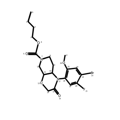 CCCCOC(=O)N1CCC2C(C1)OCC(=O)N2c1cc(F)c(Br)cc1OC